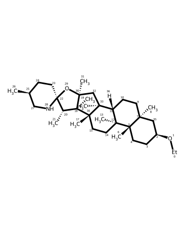 CCO[C@H]1CC[C@@]2(C)[C@@](C)(CC[C@@H]3[C@]2(C)CC[C@]2(C)[C@@]4(C)[C@H](C)[C@]5(CC[C@H](C)CN5)O[C@@]4(C)C[C@@]32C)C1